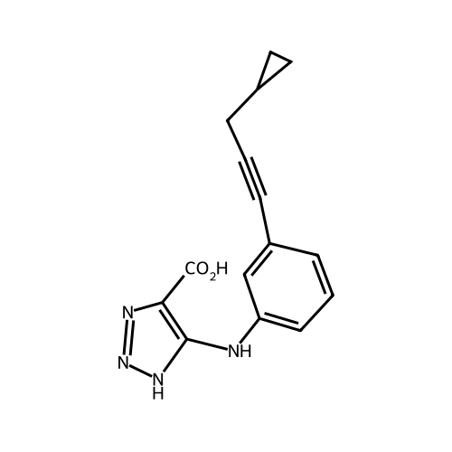 O=C(O)c1nn[nH]c1Nc1cccc(C#CCC2CC2)c1